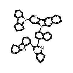 c1ccc2cc3c(cc2c1)c1ccc(-n2c4ccccc4c4ccccc42)cc1n3-c1ccc(-c2nc3ccccc3nc2-c2cccc3c2oc2ccccc23)c2ccccc12